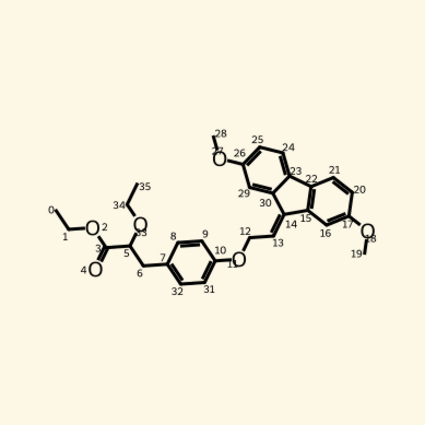 CCOC(=O)C(Cc1ccc(OCC=C2c3cc(OC)ccc3-c3ccc(OC)cc32)cc1)OCC